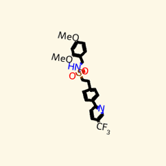 COc1ccc(CNS(=O)(=O)CCc2ccc(-c3ccc(C(F)(F)F)cn3)cc2)c(OC)c1